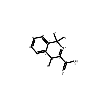 CC1C(C(=O)O)=NC(C)(C)c2ccccc21